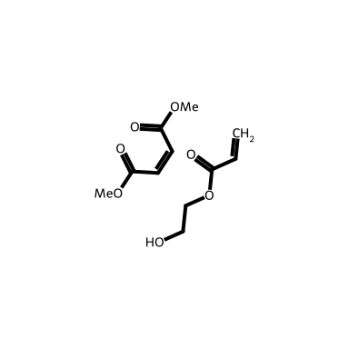 C=CC(=O)OCCO.COC(=O)/C=C\C(=O)OC